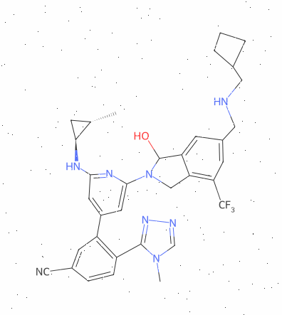 C[C@H]1C[C@@H]1Nc1cc(-c2cc(C#N)ccc2-c2nncn2C)cc(N2Cc3c(cc(CNCC4CCC4)cc3C(F)(F)F)C2O)n1